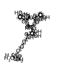 CC(C)(C)N(CCOCCOCCOCCNC(=O)c1cc(O)c(O)c(C(=O)N[C@H]2COC(=O)[C@@H](NC(=O)c3cccc(O)c3O)COC(=O)[C@@H](NC(=O)c3cccc(O)c3O)COC2=O)c1)C(=O)O